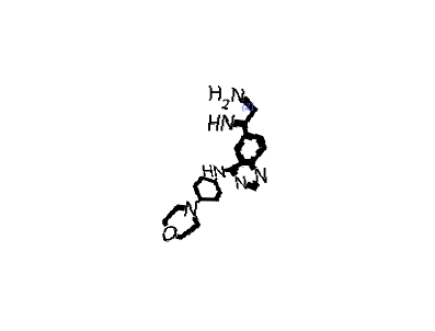 N=C(/C=C\N)c1ccc2ncnc(N[C@H]3CC[C@H](N4CCOCC4)CC3)c2c1